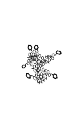 CC(=O)OC[C@H]1O[C@@H](O[C@@H]2[C@@H](OC(C)=O)[C@H](NC(=O)[C@H](CCNC(=O)OCc3ccccc3)OC(C)=O)C[C@H](NC(=O)OCc3ccccc3)[C@H]2O[C@H]2O[C@@H]3COC(c4ccccc4)O[C@H]3[C@H](OC(C)=O)[C@H]2NC(=O)OCc2ccccc2)[C@H](OC(C)=O)[C@@H]1O[C@H]1O[C@@H](CNC(=O)OCc2ccccc2)[C@@H](OC(C)=O)[C@H](OC(C)=O)[C@H]1NC(=O)OCc1ccccc1